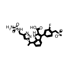 CC(c1cccc2c(-c3ccc(CS(C)(=O)=O)c(F)c3)c(C(=O)O)[nH]c12)n1cc(CNS(N)(=O)=O)nn1